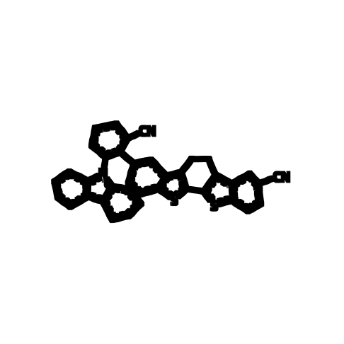 N#Cc1ccc2sc3c(c2c1)CCc1c-3sc2ccc(-c3c(C#N)cccc3-n3c4ccccc4c4ccccc43)cc12